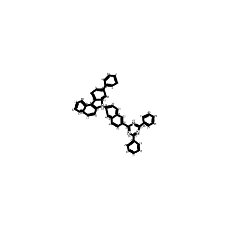 c1ccc(-c2ccc3c4c5ccccc5ccc4n(-c4ccc5cc(-c6nc(-c7ccccc7)nc(-c7ccccc7)n6)ccc5c4)c3c2)cc1